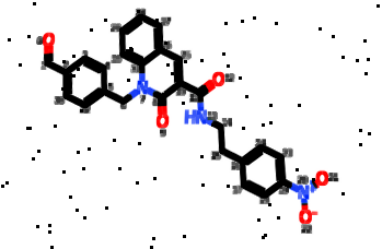 O=Cc1ccc(Cn2c(=O)c(C(=O)NCCc3ccc([N+](=O)[O-])cc3)cc3ccccc32)cc1